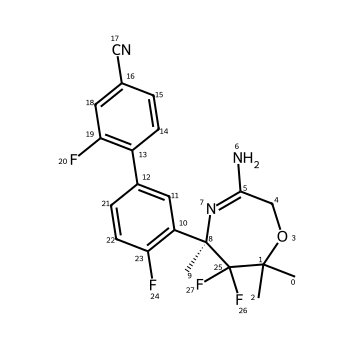 CC1(C)OCC(N)=N[C@](C)(c2cc(-c3ccc(C#N)cc3F)ccc2F)C1(F)F